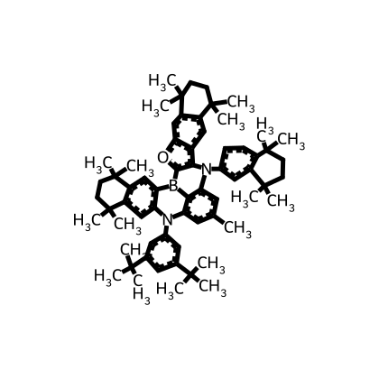 Cc1cc2c3c(c1)N(c1ccc4c(c1)C(C)(C)CCC4(C)C)c1c(oc4cc5c(cc14)C(C)(C)CCC5(C)C)B3c1cc3c(cc1N2c1cc(C(C)(C)C)cc(C(C)(C)C)c1)C(C)(C)CCC3(C)C